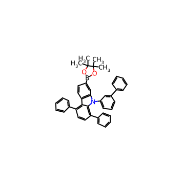 CC1(C)OB(c2ccc3c4c(-c5ccccc5)ccc(-c5ccccc5)c4n(-c4cccc(-c5ccccc5)c4)c3c2)OC1(C)C